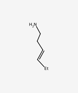 CCC=CCCN